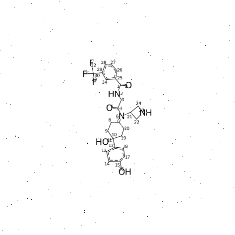 O=C(NCC(=O)N(C1CCC(O)(c2ccc(O)cc2)CC1)C1CNC1)c1cccc(C(F)(F)F)c1